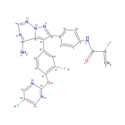 C=C(F)C(=O)Nc1ccc(-c2nn3ncnc(N)c3c2-c2ccc(Oc3ncc(F)cn3)c(F)c2)cc1